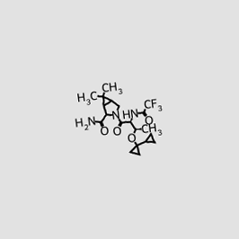 C[C@@H](OC1(C2CC2)CC1)[C@H](NC(=O)C(F)(F)F)C(=O)N1CC2C(C1C(N)=O)C2(C)C